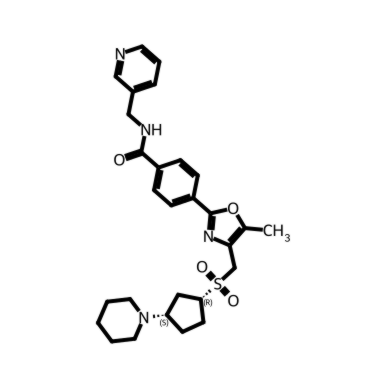 Cc1oc(-c2ccc(C(=O)NCc3cccnc3)cc2)nc1CS(=O)(=O)[C@@H]1CC[C@H](N2CCCCC2)C1